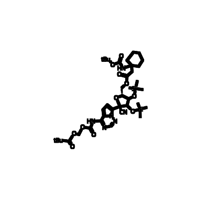 CC(C)(C)OC(=O)NC1(CC(=O)OC[C@H]2O[C@@](C#N)(c3ccc4c(NC(=O)OCOC(=O)C(C)(C)C)ncnn34)C(O[Si](C)(C)C)C2O[Si](C)(C)C)CCCCC1